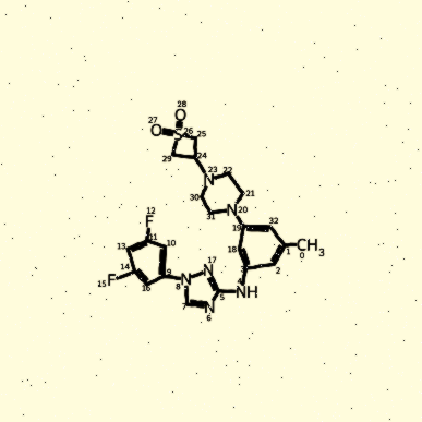 Cc1cc(Nc2ncn(-c3cc(F)cc(F)c3)n2)cc(N2CCN(C3CS(=O)(=O)C3)CC2)c1